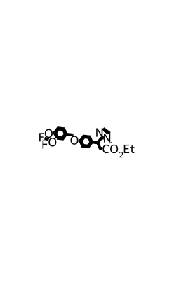 CCOC(=O)CC(c1ccc(OCc2ccc3c(c2)OC(F)(F)O3)cc1)c1nccn1C